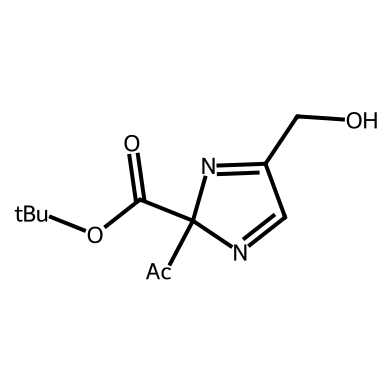 CC(=O)C1(C(=O)OC(C)(C)C)N=CC(CO)=N1